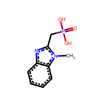 Cn1c(CP(=O)(O)O)nc2ccccc21